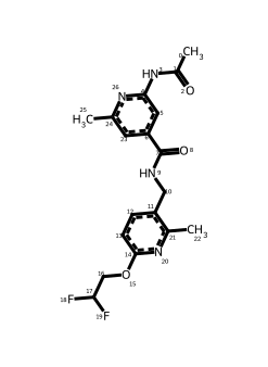 CC(=O)Nc1cc(C(=O)NCc2ccc(OCC(F)F)nc2C)cc(C)n1